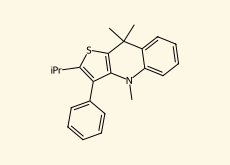 CC(C)c1sc2c(c1-c1ccccc1)N(C)c1ccccc1C2(C)C